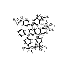 CC(C)(C)c1ccc(N(c2ccccc2)c2cc3c4c(c2)N(c2ccc(C(C)(C)C)cc2)c2ccc(C(C)(C)C)cc2B4c2cc(C(C)(C)C)ccc2N3c2ccc(C(C)(C)C)cc2)cc1